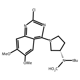 COc1cc2nc(Cl)nc(N3CC[C@H](N(C(=O)O)C(C)(C)C)C3)c2cc1OC